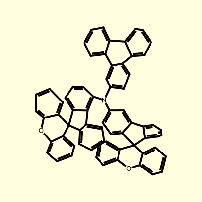 c1ccc2c(c1)Oc1ccccc1C21c2ccccc2-c2cc(N(c3ccc4c5ccccc5c5ccccc5c4c3)c3cccc4c3-c3ccccc3C43c4ccccc4Oc4ccccc43)ccc21